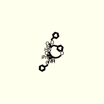 CC(C)C[C@H]1C(=O)N[C@H](C(=O)OCc2ccccc2)Cc2ccc(cc2)OCCC[C@@H]1C(=O)NOCc1ccccc1